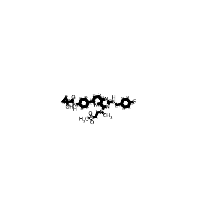 CN(CCS(C)(=O)=O)c1nc(NCc2ccc(F)cc2)nc2ccc(-c3ccc(NC(=O)C4(O)CC4)cc3)nc12